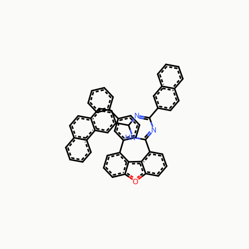 c1ccc(-c2cccc(-c3cccc4oc5cccc(C6=NC(c7ccc8ccccc8c7)=NC(c7ccc8ccc9ccccc9c8c7)N6)c5c34)c2)cc1